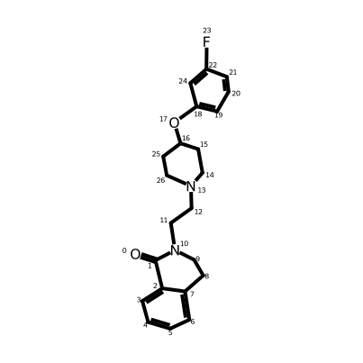 O=C1c2ccccc2CCN1CCN1CCC(Oc2cccc(F)c2)CC1